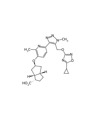 Cc1nc(-c2nnn(C)c2COc2noc(C3CC3)n2)ccc1O[C@H]1C[C@@H]2CC[C@H](C(=O)O)[C@@H]2C1